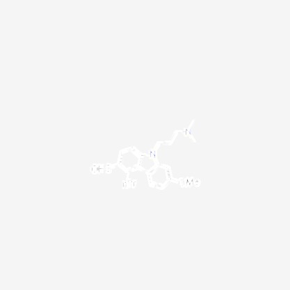 CCCc1c(C=O)ccc2c1c1ccc(OC)cc1n2CCCN(C)C